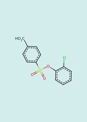 O=C(O)c1ccc(S(=O)(=O)Oc2ccccc2Cl)cc1